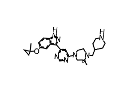 C[C@H]1CN(c2cc(-c3n[nH]c4ccc(OC5(C)CC5)cc34)ncn2)CCN1CC1CCNCC1